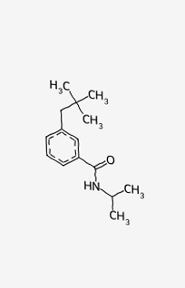 CC(C)NC(=O)c1cccc(CC(C)(C)C)c1